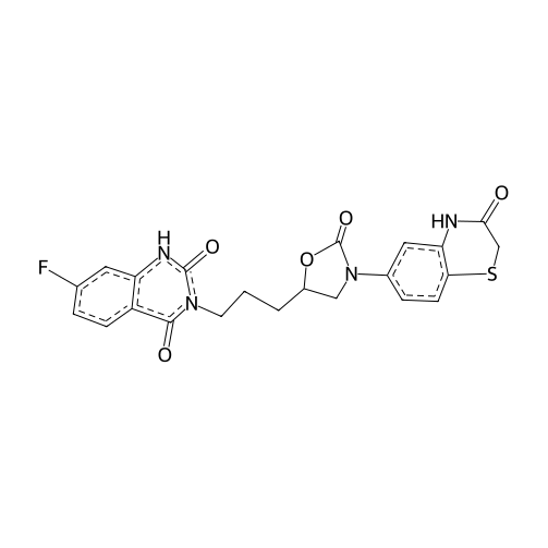 O=C1CSc2ccc(N3CC(CCCn4c(=O)[nH]c5cc(F)ccc5c4=O)OC3=O)cc2N1